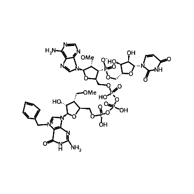 COC[C@H]1[C@@H](O)[C@H](n2c[n+](Cc3ccccc3)c3c(=O)[nH]c(N)nc32)O[C@@H]1COP(=O)(O)OP(=O)(O)OP(=O)(O)OC[C@H]1O[C@@H](n2cnc3c(N)ncnc32)[C@H](OC)[C@@H]1P(=O)([O-])OC[C@H]1O[C@@H](n2ccc(=O)[nH]c2=O)[C@H](O)[C@@H]1O